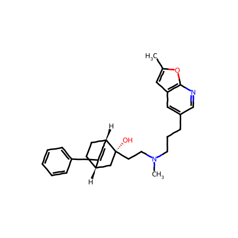 Cc1cc2cc(CCCN(C)CC[C@@]3(O)C[C@@H]4CC[C@H]3C=C4c3ccccc3)cnc2o1